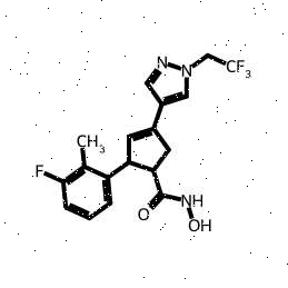 Cc1c(F)cccc1C1C=C(c2cnn(CC(F)(F)F)c2)CC1C(=O)NO